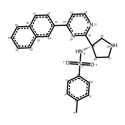 Cc1ccc(S(=O)(=O)N[C@@]2(c3nccc(-c4ccc5ccccc5c4)n3)CCNC2)cc1